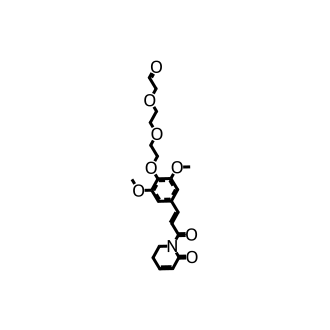 COc1cc(/C=C/C(=O)N2CCC=CC2=O)cc(OC)c1OCCOCCOCC=O